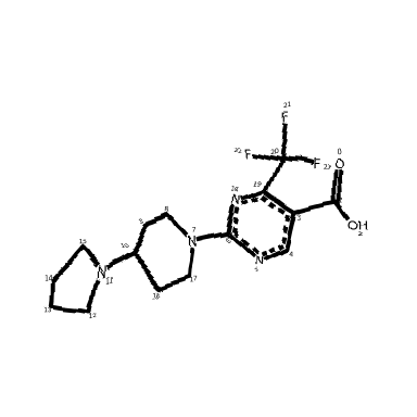 O=C(O)c1cnc(N2CCC(N3CCCC3)CC2)nc1C(F)(F)F